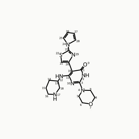 O=c1[nH]c(N2CCOCC2)nc(NC2CCCNC2)c1-c1csc(-n2cccc2)n1